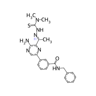 C/C(=N\NC(=S)N(C)C)c1nc(-c2cccc(C(=O)NCc3ccccc3)c2)cnc1N